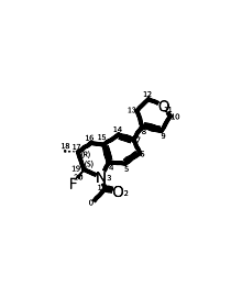 CC(=O)N1c2ccc(C3=CCOCC3)cc2C[C@@H](C)[C@@H]1F